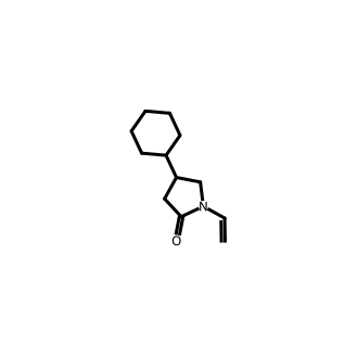 C=CN1CC(C2CCCCC2)CC1=O